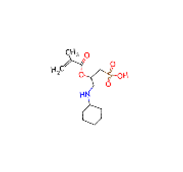 C=C(C)C(=O)OC(CNC1CCCCC1)CS(=O)(=O)O